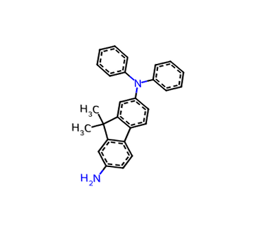 CC1(C)c2cc(N)ccc2-c2ccc(N(c3ccccc3)c3ccccc3)cc21